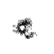 C=CC[C@@]1(OC)C[C@@H](C)CN[C@H](C)[C@H]2N(CCCCn3cc(-c4cccc(N)c4)nn3)C(=O)O[C@]2(C)[C@@H](CC)OC(=O)C(C)C(=O)[C@@H](C)[C@H]1O[C@H](OCC)C(O)C(CC)N(C)C